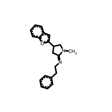 CN1CC(c2cc3ccccc3o2)CC1=NCCc1ccccc1